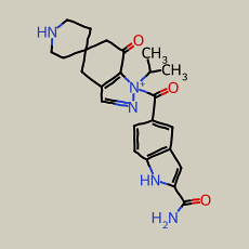 CC(C)[N+]1(C(=O)c2ccc3[nH]c(C(N)=O)cc3c2)N=CC2=C1C(=O)CC1(CCNCC1)C2